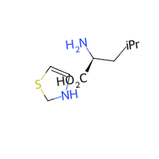 C1=CSCN1.CC(C)C[C@H](N)C(=O)O